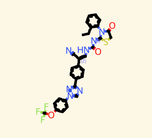 CCc1ccccc1N1C(=O)CS/C1=N\C(=O)N/C=C(\C#N)c1ccc(-c2ncn(-c3ccc(OC(F)(F)F)cc3)n2)cc1